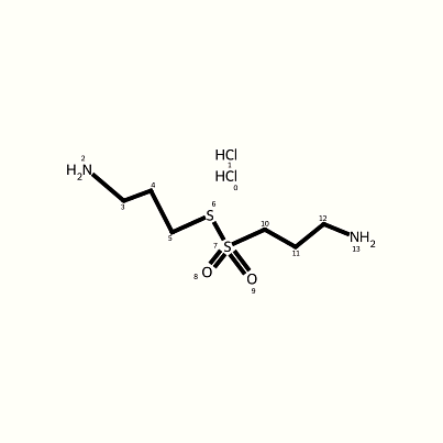 Cl.Cl.NCCCSS(=O)(=O)CCCN